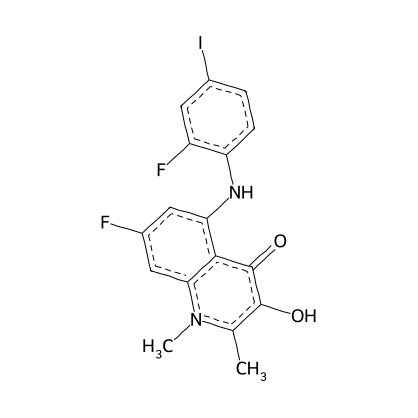 Cc1c(O)c(=O)c2c(Nc3ccc(I)cc3F)cc(F)cc2n1C